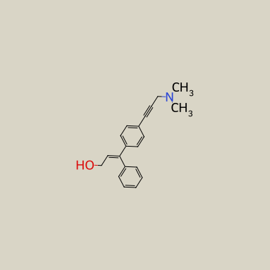 CN(C)CC#Cc1ccc(/C(=C/CO)c2ccccc2)cc1